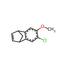 COc1cc2c(cc1Cl)C1C=CC2C1